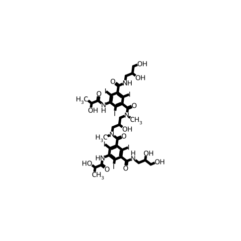 CC(O)C(=O)Nc1c(I)c(C(=O)NCC(O)CO)c(I)c(C(=O)N(C)CC(O)CN(C)C(=O)c2c(I)c(NC(=O)C(C)O)c(I)c(C(=O)NCC(O)CO)c2I)c1I